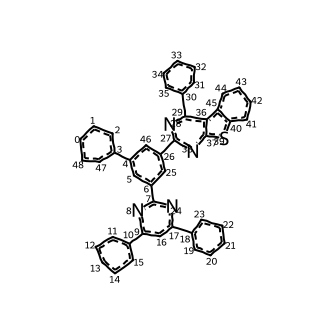 c1ccc(-c2cc(-c3nc(-c4ccccc4)cc(-c4ccccc4)n3)cc(-c3nc(-c4ccccc4)c4c(n3)sc3ccccc34)c2)cc1